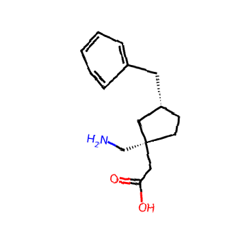 NC[C@@]1(CC(=O)O)CC[C@@H](Cc2ccccc2)C1